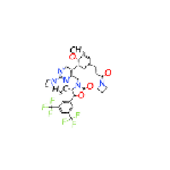 COc1ccc(CCC(=O)N2CCC2)cc1-c1cnc(N2CCC2)nc1CN1C(=O)OC(c2cc(C(F)(F)F)cc(C(F)(F)F)c2)C1C